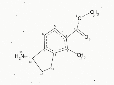 COC(=O)c1ccc2c(c1C)CC[C@@H]2N